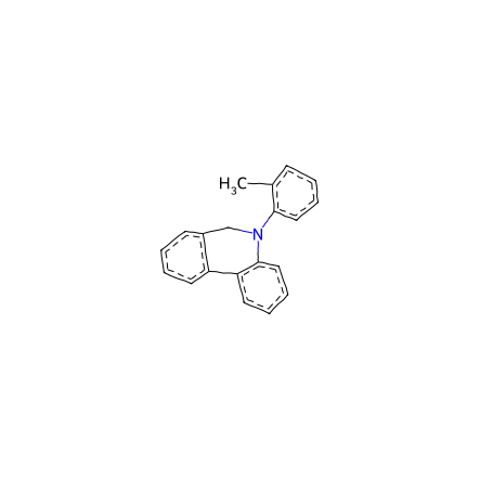 Cc1ccccc1N1Cc2ccccc2-c2ccccc21